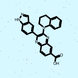 O=C(O)c1ccc2nc(-c3ccc4[nH]ncc4c3)c(N3CCCc4ccccc43)nc2c1